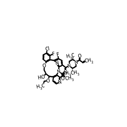 C=CC(=O)N1C[C@H](C)N(c2nc(=O)n3c4nc(c(F)cc24)-c2c(ccc(Cl)c2F)OCC(O)C(OCC)c2ccnc(C(C)C)c2-3)C[C@H]1C